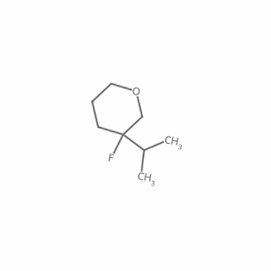 CC(C)C1(F)CCCOC1